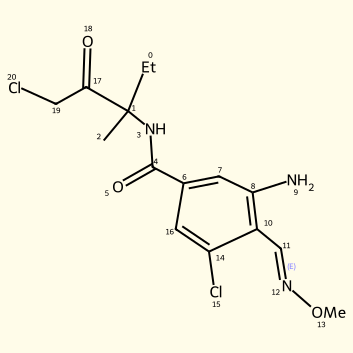 CCC(C)(NC(=O)c1cc(N)c(/C=N/OC)c(Cl)c1)C(=O)CCl